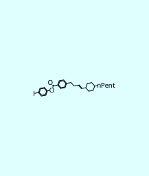 CCCCCC1CCC(C=CCCc2ccc(C(=O)Oc3ccc(I)cc3)cc2)CC1